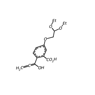 C=C=C(O)c1ccc(OCC(OCC)OCC)cc1C(=O)O